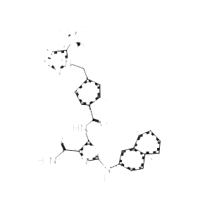 CS(=O)(=O)c1nnnn1Cc1ccc(C(=O)Nc2sc(Nc3ccc4ccccc4c3)nc2C(N)=O)cc1